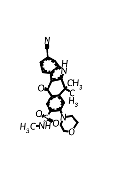 CNS(=O)(=O)c1cc2c(cc1N1CCOCC1)C(C)(C)c1[nH]c3cc(C#N)ccc3c1C2=O